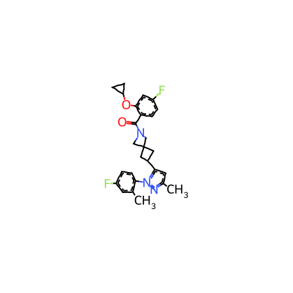 Cc1cc(C2CC3(C2)CN(C(=O)c2ccc(F)cc2OC2CC2)C3)n(-c2ccc(F)cc2C)n1